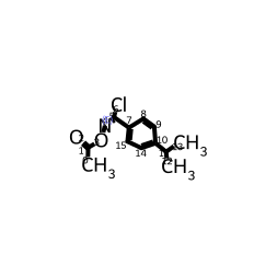 CC(=O)O/N=C(/Cl)c1ccc(C(C)C)cc1